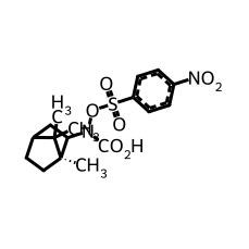 CC1(C)C2CC[C@]1(C)C(N(OS(=O)(=O)c1ccc([N+](=O)[O-])cc1)C(=O)O)C2